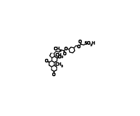 C[C@H](CCC(=O)OC1CCCC(COC(=O)CS(=O)(=O)O)C1)[C@H]1CCC2C3C(=O)CC4CC(=O)CC[C@]4(C)C3CC(=O)[C@@]21C